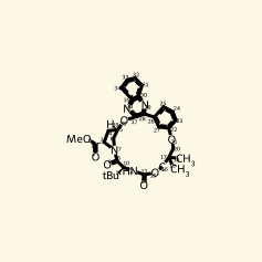 COC(=O)[C@@H]1C[C@@H]2CN1C(=O)[C@H](C(C)(C)C)NC(=O)OCC(C)(C)COc1cccc(c1)-c1nc3ccccc3nc1O2